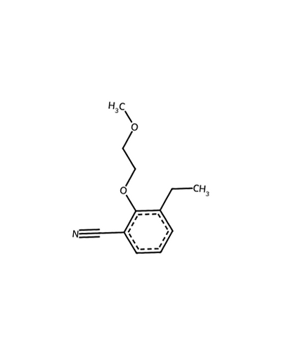 CCc1cccc(C#N)c1OCCOC